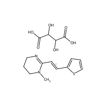 CN1CCCN=C1/C=C/c1cccs1.O=C(O)C(O)C(O)C(=O)O